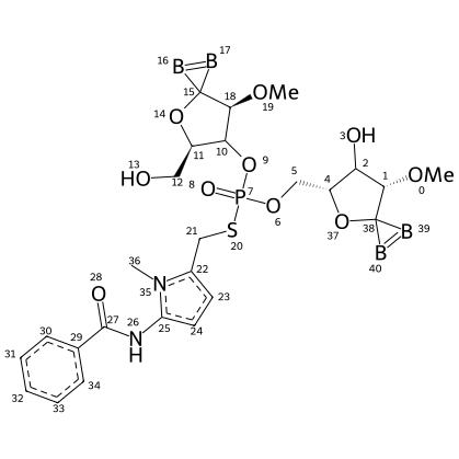 CO[C@H]1C(O)[C@@H](COP(=O)(OC2[C@@H](CO)OC3(B=B3)[C@H]2OC)SCc2ccc(NC(=O)c3ccccc3)n2C)OC12B=B2